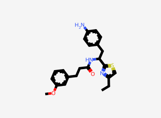 CCc1csc(C(Cc2ccc(N)cc2)NC(=O)CCc2cccc(OC)c2)n1